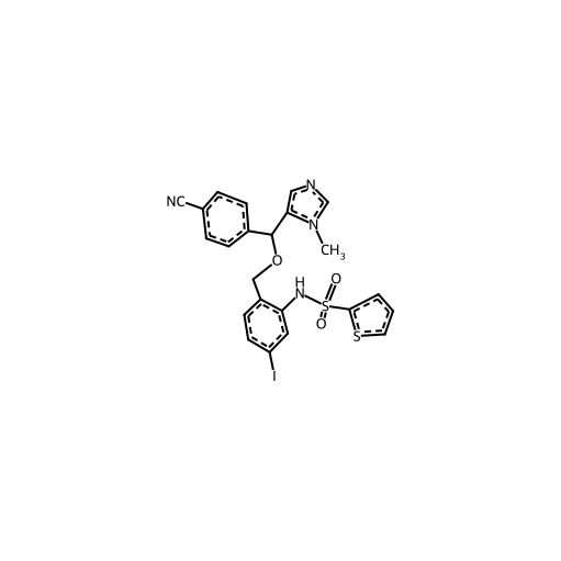 Cn1cncc1C(OCc1ccc(I)cc1NS(=O)(=O)c1cccs1)c1ccc(C#N)cc1